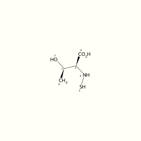 C[C@@H](O)[C@H](NS)C(=O)O